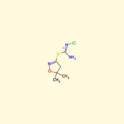 CC1(C)CC(S/C(N)=N/Cl)=NO1